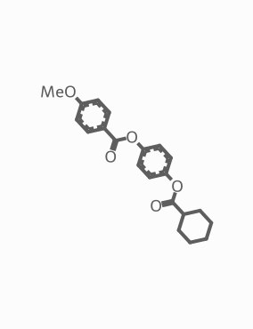 COc1ccc(C(=O)Oc2ccc(OC(=O)C3CCCCC3)cc2)cc1